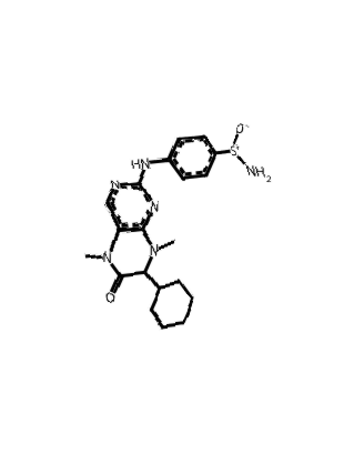 CN1C(=O)C(C2CCCCC2)N(C)c2nc(Nc3ccc([S+](N)[O-])cc3)ncc21